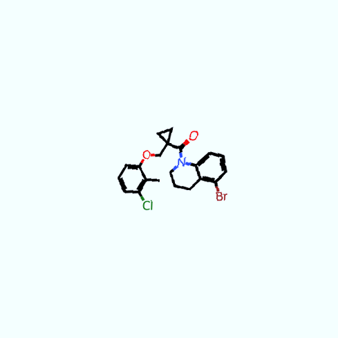 Cc1c(Cl)cccc1OCC1(C(=O)N2CCCc3c(Br)cccc32)CC1